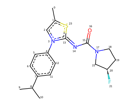 Cc1cn(-c2ccc(C(C)C)cc2)/c(=N/C(=O)N2CC[C@@H](F)C2)s1